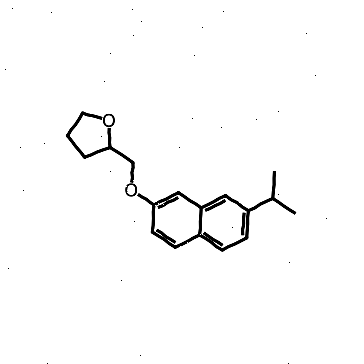 CC(C)c1ccc2ccc(OCC3CCCO3)cc2c1